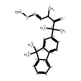 CC(/C=N/OC=O)C(=O)C(C)(C)c1ccc2c(c1)C(C)(C)c1ccccc1-2